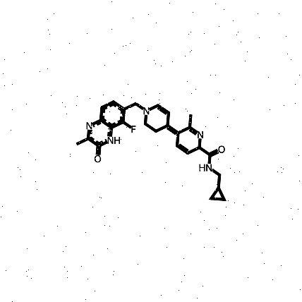 CC1=NC(C(=O)NCC2CC2)C=CC1=C1C=CN(Cc2ccc3nc(C)c(=O)[nH]c3c2F)CC1